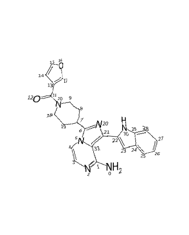 Nc1nccn2c(C3CCN(C(=O)c4ccoc4)CC3)nc(-c3cc4ccccc4[nH]3)c12